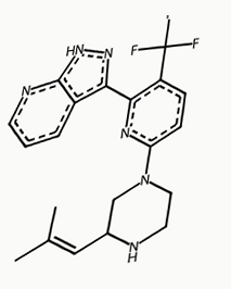 CC(C)=CC1CN(c2ccc(C(F)(F)F)c(-c3n[nH]c4ncccc34)n2)CCN1